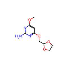 COc1cc(OCC2OCCO2)nc(N)n1